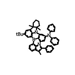 Cc1c(-c2ccccc2)n2c3c(cccc13)B1c3cc(C(C)(C)C)cc4c3N(c3cc(N(c5ccccc5)c5ccccc5)cc-2c31)C1(C)CCCCC41C